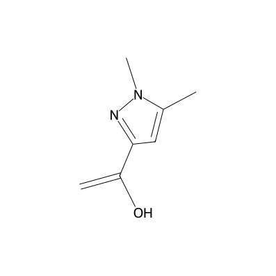 C=C(O)c1cc(C)n(C)n1